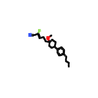 CCCCc1ccc(C2CCC(CCC=C(F)C#N)(OC)CC2)cc1